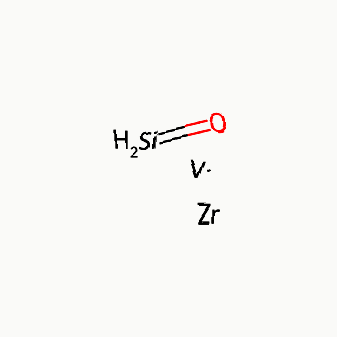 O=[SiH2].[V].[Zr]